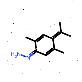 CC1=C/C(=N/N)C(C)=CC1=C(C)C